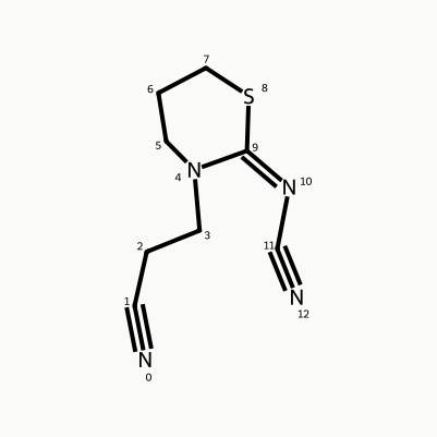 N#CCCN1CCCSC1=NC#N